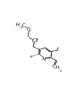 C=Cc1nc(I)c(COCOC)cc1F